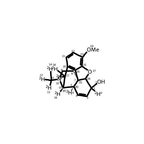 [2H]C1(O)C=C[C@]2([2H])[C@@]34CCN(C([2H])([2H])[2H])[C@]2([2H])C([2H])([2H])c2ccc(OC)c(c23)OC14